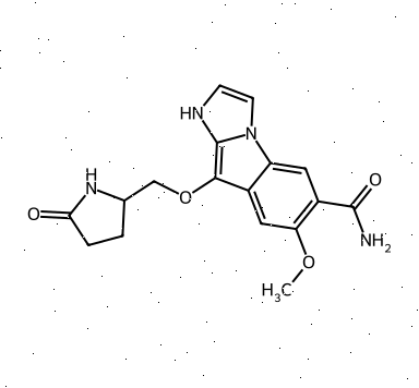 COc1cc2c(OCC3CCC(=O)N3)c3[nH]ccn3c2cc1C(N)=O